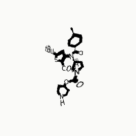 CC(C)(C)c1cc(N(C(=O)[C@H]2CC[C@H](C)CC2)[C@H]2CCN(C(=O)OC3CCNCC3)C2)c(C(=O)O)s1